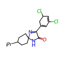 CC(C)C1CCC2(CC1)N=C(C1=CC(Cl)=CC(Cl)C1)C(=O)N2